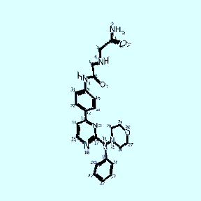 NC(=O)CNCC(=O)Nc1ccc(-c2ccnc(N(c3ccccc3)N3CCOCC3)n2)cc1